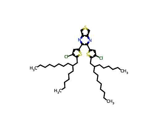 CCCCCCCCC(CCCCCC)Cc1sc(-c2nc3cscc3nc2-c2cc(Cl)c(CC(CCCCCC)CCCCCCCC)s2)cc1Cl